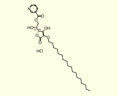 CCCCCCCCCCCCCCCCCCOC1=C(O)[C@@H]([C@@H](O)COC(=O)c2cccnc2)OC1=O.Cl